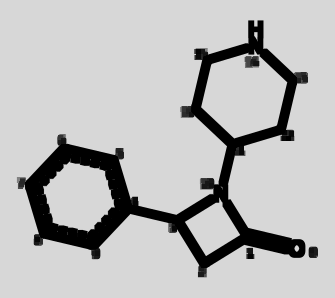 O=C1CC(c2ccccc2)N1C1CCNCC1